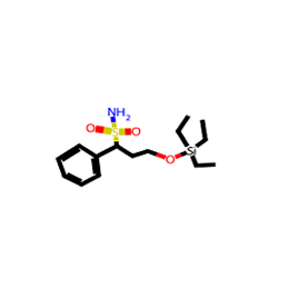 CC[Si](CC)(CC)OCCC(c1ccccc1)S(N)(=O)=O